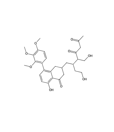 COc1ccc(-c2ccc(O)c3c2CC(CC(CCO)C(CO)C(=O)CC(C)=O)CC3=O)c(OC)c1OC